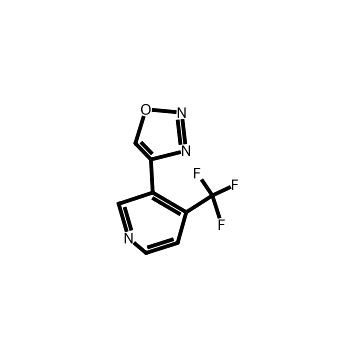 FC(F)(F)c1ccncc1-c1conn1